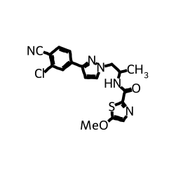 COc1cnc(C(=O)NC(C)Cn2ccc(-c3ccc(C#N)c(Cl)c3)n2)s1